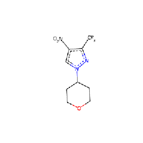 O=[N+]([O-])c1cn(C2CCOCC2)nc1C(F)(F)F